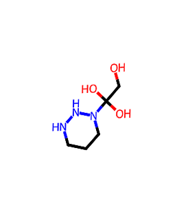 OCC(O)(O)N1CCCNN1